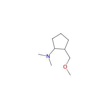 COCC1CCCC1N(C)C